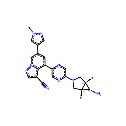 Cn1cc(-c2cc(-c3cnc(N4C[C@@H]5[C@@H](N)[C@@H]5C4)cn3)c3c(C#N)cnn3c2)cn1